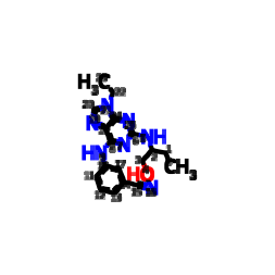 CCC(CO)Nc1nc(Nc2cccc(C#N)c2)c2ncn(CC)c2n1